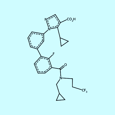 O=C(O)c1cnn(-c2cccc(-c3cccc(C(=O)N(CCC(F)(F)F)CC4CC4)c3F)c2)c1C1CC1